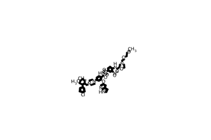 COCCOCCN1CCOC(CNc2ccc(S(=O)(=O)NC(=O)c3ccc(N4CCN(CC5=C(c6ccc(Cl)cc6)CC(C)(C)CC5)CC4)cc3Oc3cnc4[nH]ccc4c3)cc2[N+](=O)[O-])C1